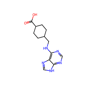 O=C(O)C1CCC(CNc2ncnc3[nH]cnc23)CC1